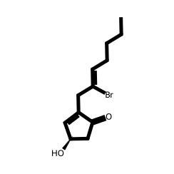 CCCC/C=C(\Br)CC1=C[C@H](O)CC1=O